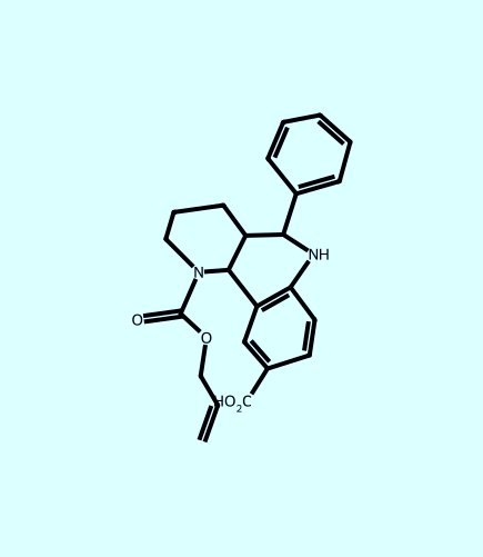 C=CCOC(=O)N1CCCC2C(c3ccccc3)Nc3ccc(C(=O)O)cc3C21